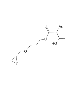 CC(=O)C(C(=O)OCCCOCC1CO1)C(C)O